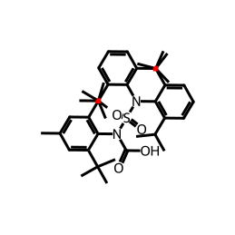 Cc1cc(C(C)(C)C)c(N(C(=O)O)S(=O)(=O)N(c2c(C(C)C)cccc2C(C)C)c2c(C(C)C)cccc2C(C)C)c(C(C)(C)C)c1